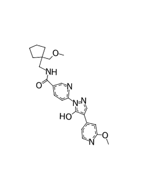 COCC1(CNC(=O)c2ccc(-n3ncc(-c4ccnc(OC)c4)c3O)nc2)CCCC1